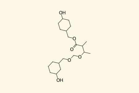 CC(OCOCC1CCCC(O)C1)C(C)C(=O)OCC1CCC(O)CC1